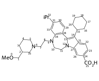 COCC1CCCN(CCN2CCn3c(c(C4CCCCC4)c4ccc(C(=O)O)cc43)-c3ccc(C(C)C)cc32)C1